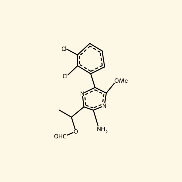 COc1nc(N)c(C(C)OC=O)nc1-c1cccc(Cl)c1Cl